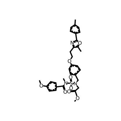 COC(=O)CN(Cc1ccc(OCCc2nc(-c3ccc(C)cc3)oc2C)cc1)S(=O)(=O)N(C)C(=O)c1ccc(OC)cc1